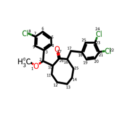 COC(c1cccc(Cl)c1)C1CCCCCC(Cc2ccc(Cl)c(Cl)c2)C1=O